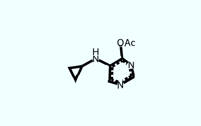 CC(=O)Oc1ncncc1NC1CC1